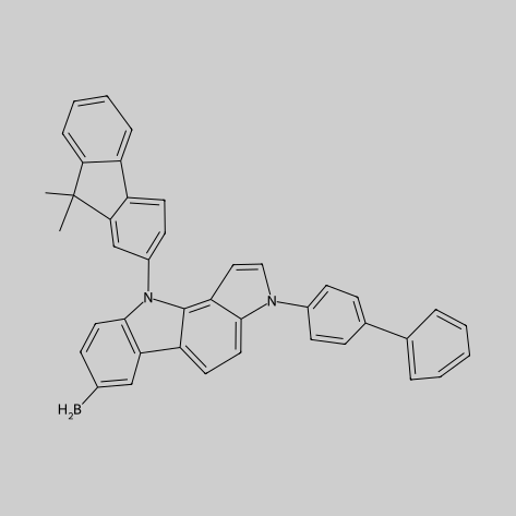 Bc1ccc2c(c1)c1ccc3c(ccn3-c3ccc(-c4ccccc4)cc3)c1n2-c1ccc2c(c1)C(C)(C)c1ccccc1-2